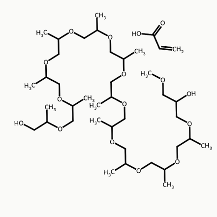 C=CC(=O)O.COCC(O)COC(C)COC(C)COC(C)COC(C)COC(C)COC(C)COC(C)COC(C)COC(C)COC(C)COC(C)CO